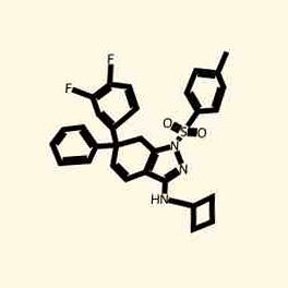 Cc1ccc(S(=O)(=O)n2nc(NC3CCC3)c3c2CC(c2ccccc2)(c2ccc(F)c(F)c2)C=C3)cc1